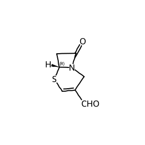 O=CC1=CS[C@@H]2CC(=O)N2C1